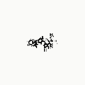 CC(C)Nc1ncnc2[nH]cc(C(=O)c3c(F)ccc(NS(=O)(=O)C4CCCCC4)c3F)c12